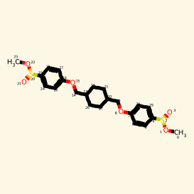 COS(=O)c1ccc(OCC2CCC(COc3ccc(S(=O)OC)cc3)CC2)cc1